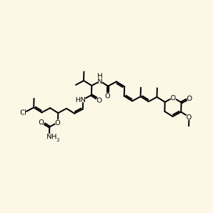 COC1=CCC(C(C)/C=C(C)/C=C\C=C/C(=O)NC(C(=O)N/C=C\CC(C/C=C(\C)Cl)OC(N)=O)C(C)C)OC1=O